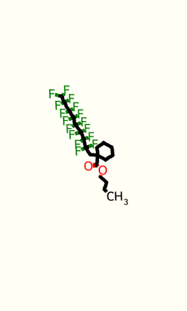 CCCCOC(=O)C1(CC(F)(F)C(F)(F)C(F)(F)C(F)(F)C(F)(F)C(F)(F)C(F)(F)C(F)F)CCCCC1